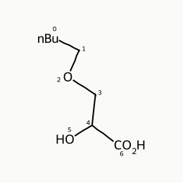 CCCCCOCC(O)C(=O)O